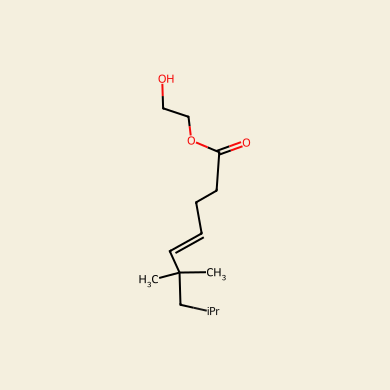 CC(C)CC(C)(C)C=CCCC(=O)OCCO